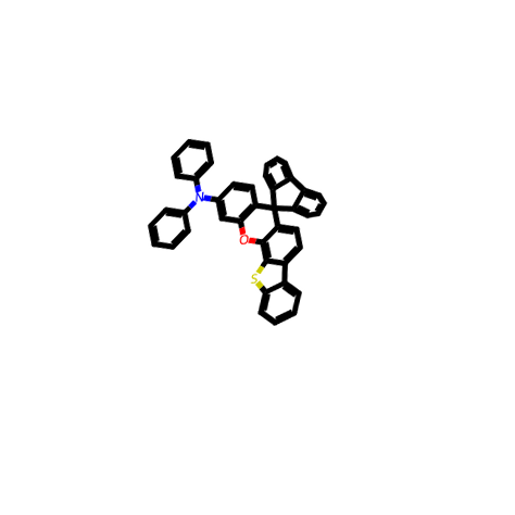 c1ccc(N(c2ccccc2)c2ccc3c(c2)Oc2c(ccc4c2sc2ccccc24)C32c3ccccc3-c3ccccc32)cc1